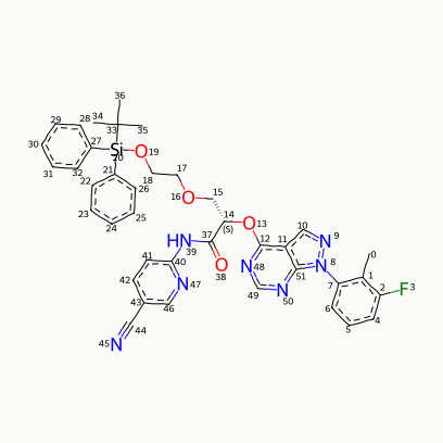 Cc1c(F)cccc1-n1ncc2c(O[C@@H](COCCO[Si](c3ccccc3)(c3ccccc3)C(C)(C)C)C(=O)Nc3ccc(C#N)cn3)ncnc21